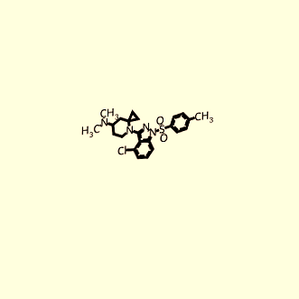 Cc1ccc(S(=O)(=O)n2nc(N3CCC(N(C)C)CC34CC4)c3c(Cl)cccc32)cc1